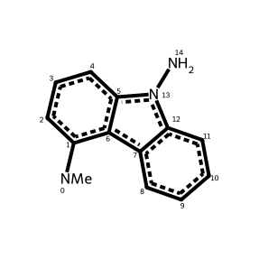 CNc1cccc2c1c1ccccc1n2N